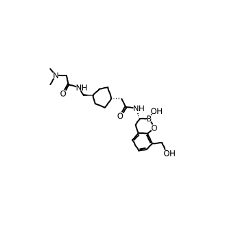 CN(C)CC(=O)NC[C@H]1CC[C@H](CC(=O)N[C@H]2Cc3cccc(CO)c3OB2O)CC1